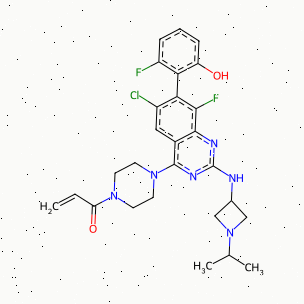 C=CC(=O)N1CCN(c2nc(NC3CN(C(C)C)C3)nc3c(F)c(-c4c(O)cccc4F)c(Cl)cc23)CC1